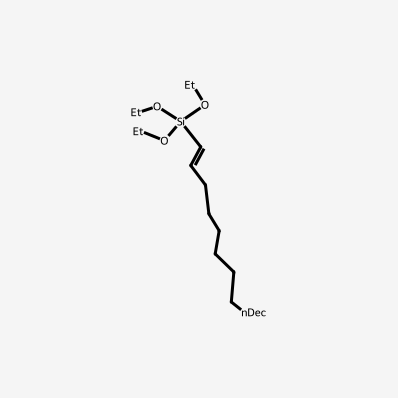 CCCCCCCCCCCCCCCCC=C[Si](OCC)(OCC)OCC